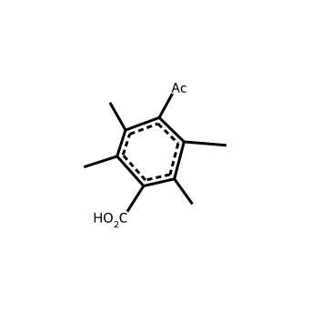 CC(=O)c1c(C)c(C)c(C(=O)O)c(C)c1C